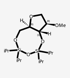 CO[C@@H]1CO[C@@H]2CO[Si](C(C)C)(C(C)C)O[Si](C(C)C)(C(C)C)O[C@@H]12